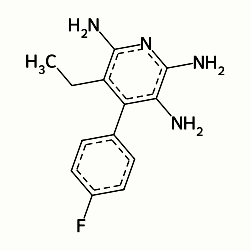 CCc1c(N)nc(N)c(N)c1-c1ccc(F)cc1